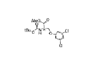 COC(=O)[C@@H](COc1cc(Cl)cc(Cl)c1)NC(=O)OC(C)(C)C